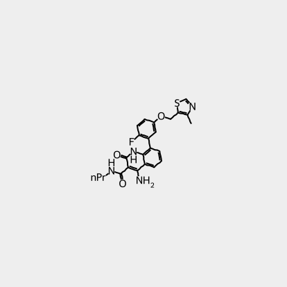 CCCNC(=O)c1c(N)c2cccc(-c3cc(OCc4scnc4C)ccc3F)c2[nH]c1=O